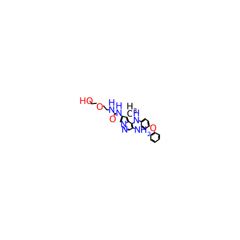 Cc1c(NC(=O)NCCOCCO)cn2ncc(N)c(Nc3ccc(Oc4ccccc4)cc3)c12